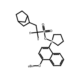 CCCCOc1ccc(S2(OS(=O)(=O)C(F)(F)CC3CC4CCC3C4)CCCC2)c2ccccc12